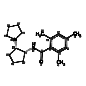 Cc1cc(C)c(C(=O)N[C@@H]2CCC[C@@H]2N2CCCC2)c(C)c1